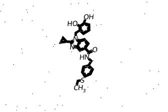 CCSc1ccc(CNC(=O)c2ccc3c(c2)nc(C2CC2)n3Cc2cccc(O)c2O)cc1